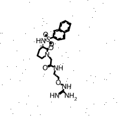 N=C(N)NOCCNC(=O)CN1CCC[C@H](NS(=O)(=O)c2ccc3ccccc3c2)C1=O